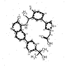 CC(Nc1c(Cl)cnc2ccc(-c3cnc(C(C)(C)O)nc3)cc12)c1cc(-c2cnn(CC(=O)O)c2)ccc1F